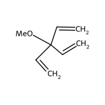 C=CC(C=C)(C=C)OC